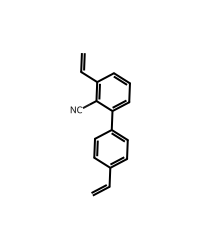 C=Cc1ccc(-c2cccc(C=C)c2C#N)cc1